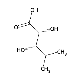 CC(C)[C@H](O)[C@@H](O)C(=O)O